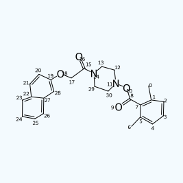 Cc1cccc(C)c1C(=O)ON1CCN(C(=O)COc2ccc3ccccc3c2)CC1